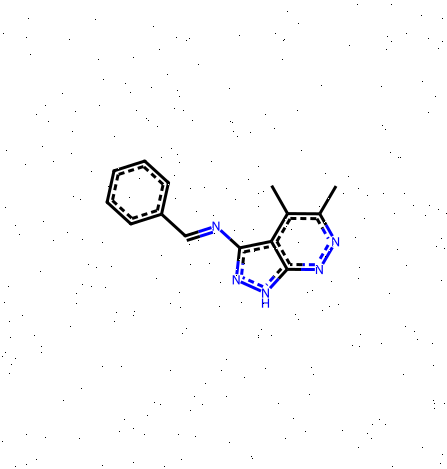 Cc1nnc2[nH]nc(/N=C/c3ccccc3)c2c1C